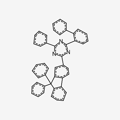 c1ccc(-c2nc(-c3ccc4c(c3)C(c3ccccc3)(c3ccccc3)c3ccccc3-4)nc(-c3ccccc3-c3ccccc3)n2)cc1